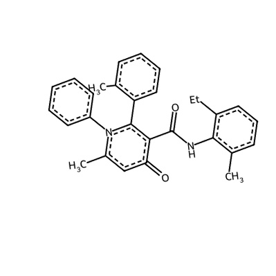 CCc1cccc(C)c1NC(=O)c1c(-c2ccccc2C)n(-c2ccccc2)c(C)cc1=O